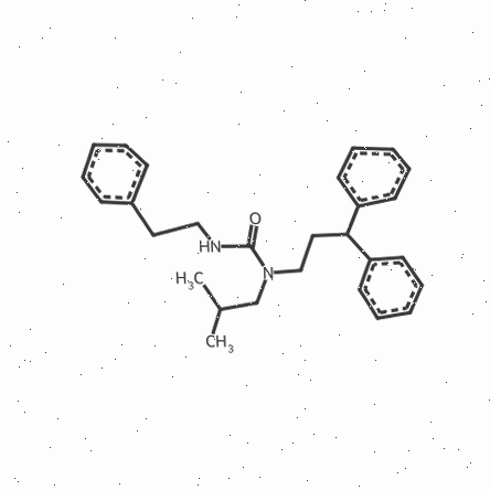 CC(C)CN(CCC(c1ccccc1)c1ccccc1)C(=O)NCCc1ccccc1